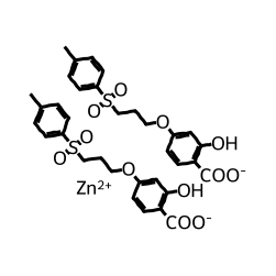 Cc1ccc(S(=O)(=O)CCCOc2ccc(C(=O)[O-])c(O)c2)cc1.Cc1ccc(S(=O)(=O)CCCOc2ccc(C(=O)[O-])c(O)c2)cc1.[Zn+2]